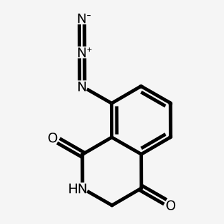 [N-]=[N+]=Nc1cccc2c1C(=O)NCC2=O